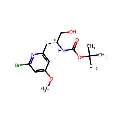 COc1cc(Br)nc(C[C@H](CO)NC(=O)OC(C)(C)C)c1